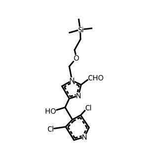 C[Si](C)(C)CCOCn1cc(C(O)c2c(Cl)cncc2Cl)nc1C=O